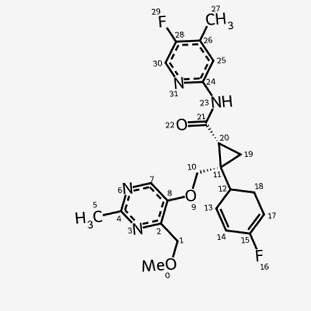 COCc1nc(C)ncc1OC[C@@]1(C2C=CC(F)=CC2)C[C@H]1C(=O)Nc1cc(C)c(F)cn1